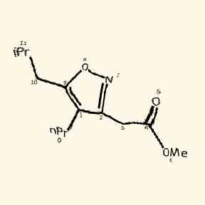 CCCc1c(CC(=O)OC)noc1CC(C)C